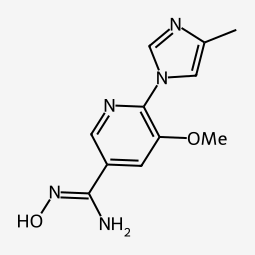 COc1cc(/C(N)=N/O)cnc1-n1cnc(C)c1